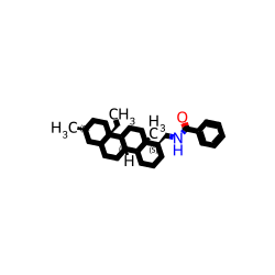 CC[C@]12CC[C@H](C)CC1CC[C@@H]1C2CC[C@@]2(C)C1CCC[C@@H]2CNC(=O)c1ccccc1